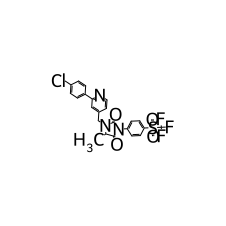 CC1C(=O)N(c2ccc(S(=O)(=O)C(F)(F)F)cc2)C(=O)N1Cc1ccnc(-c2ccc(Cl)cc2)c1